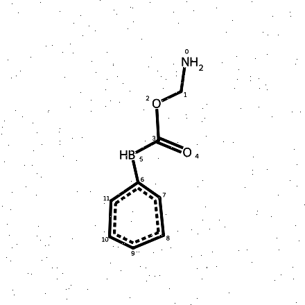 NCOC(=O)Bc1ccccc1